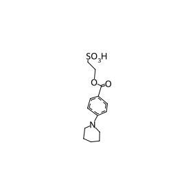 O=C(OCCS(=O)(=O)O)c1ccc(N2CCCCC2)cc1